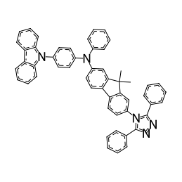 CC1(C)c2cc(N(c3ccccc3)c3ccc(-n4c5ccccc5c5ccccc54)cc3)ccc2-c2ccc(-n3c(-c4ccccc4)nnc3-c3ccccc3)cc21